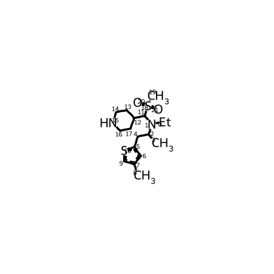 CCN(C(C)Cc1cc(C)cs1)C(C1CCNCC1)S(C)(=O)=O